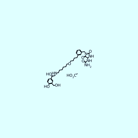 CC(=O)O.NC(=O)NC1NC(=O)N(Cc2cccc(CCCCOCCCCCCNC[C@H](O)c3ccc(O)c(CO)c3)c2)C1=O